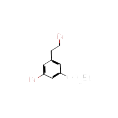 CCOC(=O)c1cc(Br)cc(CCBr)c1